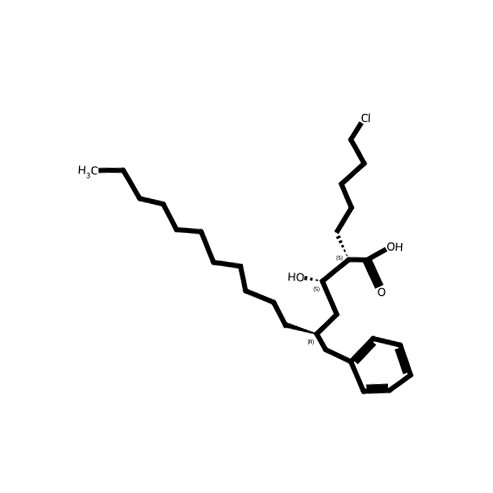 CCCCCCCCCCC[C@H](Cc1ccccc1)C[C@H](O)[C@H](CCCCCCl)C(=O)O